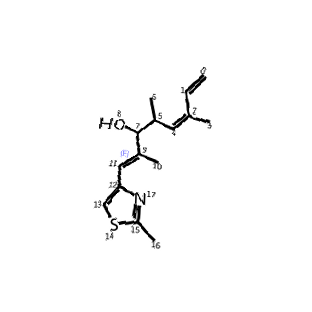 C=CC(C)=CC(C)C(O)/C(C)=C/c1csc(C)n1